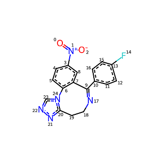 O=[N+]([O-])c1ccc2c(c1)C(c1ccc(F)cc1)=NCCc1nncn1-2